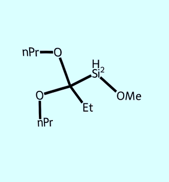 CCCOC(CC)(OCCC)[SiH2]OC